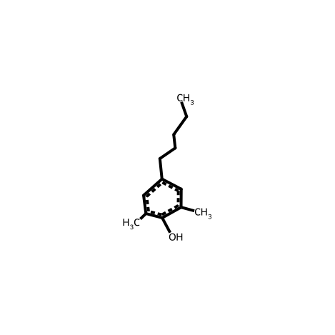 CCCCCc1cc(C)c(O)c(C)c1